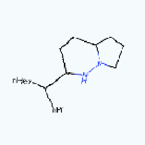 CCCCCCC(CCC)C1CCC2CCCN2N1